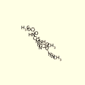 COc1cccc(C(=O)Nc2ccc3nc(Nc4ncnc5cc(OCCCN6CCN(C)CC6)c(OC)cc45)sc3c2)c1